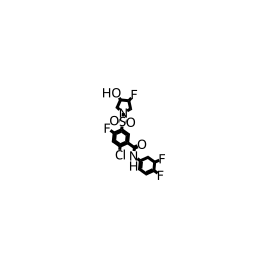 O=C(NC1=CC=C(F)C(F)C1)c1cc(S(=O)(=O)N2CC(O)C(F)C2)c(F)cc1Cl